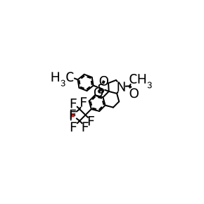 CC(=O)N1CCC2(S(=O)(=O)c3ccc(C)cc3)c3ccc(C(F)(C(F)(F)F)C(F)(F)F)cc3CCC12